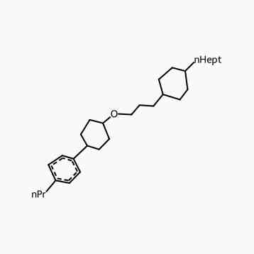 CCCCCCCC1CCC(CCCOC2CCC(c3ccc(CCC)cc3)CC2)CC1